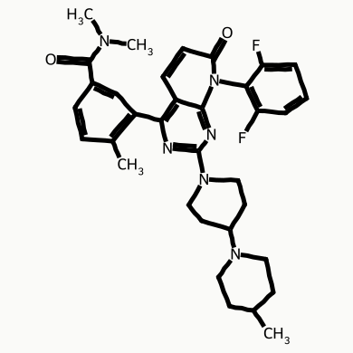 Cc1ccc(C(=O)N(C)C)cc1-c1nc(N2CCC(N3CCC(C)CC3)CC2)nc2c1ccc(=O)n2-c1c(F)cccc1F